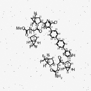 COC(=O)NC(C(=O)N1[C@@H]2C[C@@H]2C[C@H]1c1nc(Cl)c(-c2ccc(-c3ccc(-c4c[nH]c([C@@H]5C[C@H]6C[C@H]6N5C(=O)C(OC(N)=O)[C@@H]5C[C@@H]6[C@H](C5)C6(F)F)n4)cc3)cc2)[nH]1)[C@@H]1C[C@@H]2[C@H](C1)C2(F)F